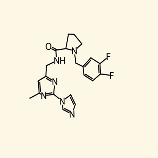 Cc1cc(CNC(=O)C2CCCN2Cc2ccc(F)c(F)c2)nc(-n2ccnc2)n1